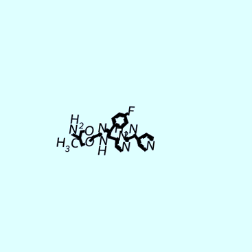 CC1(CN)COC(c2nc(-c3ccc(F)cc3)c(-c3ccnc(C(N)c4ccncc4)n3)[nH]2)OC1